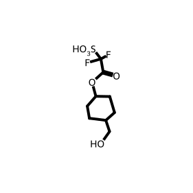 O=C(OC1CCC(CO)CC1)C(F)(F)S(=O)(=O)O